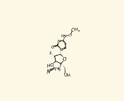 CONc1ccn([C@@H]2O[C@@](CO)(N=[N+]=[N-])C(O)[C@@H]2F)c(=O)n1